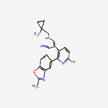 Cc1nc2cc(-c3nc(C#N)ccc3/C(C=N)=C/NCC3(C(F)(F)F)CC3)ccc2o1